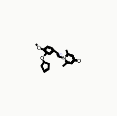 COc1ccc(/C=C/n2c(C)cc(=O)cc2C)cc1OC1CC=CC1